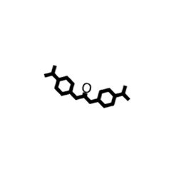 CC(C)C1CCC(CC(=O)CC2CCC(C(C)C)CC2)CC1